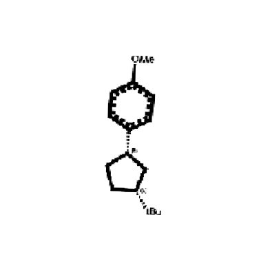 COc1ccc([C@@H]2[CH][C@H](C(C)(C)C)CC2)cc1